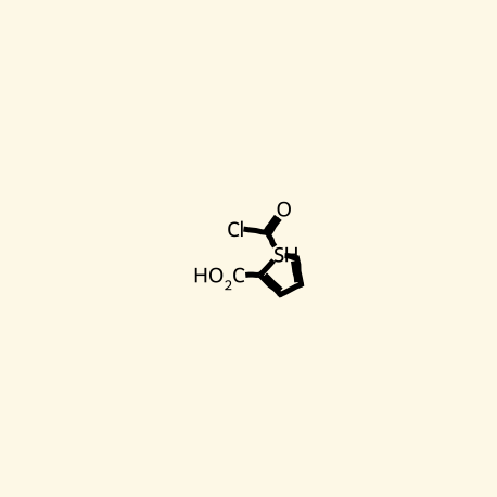 O=C(O)C1=CC=C[SH]1C(=O)Cl